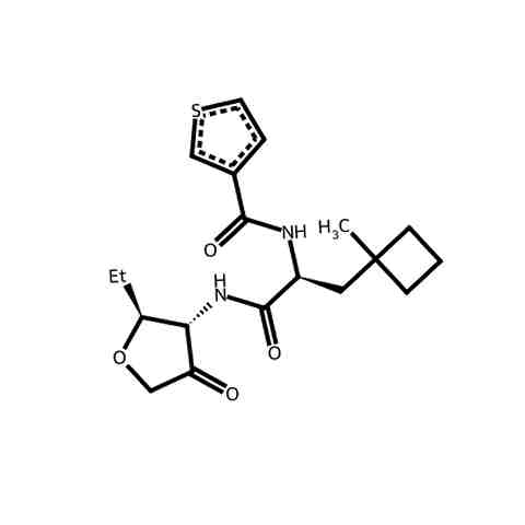 CC[C@@H]1OCC(=O)[C@H]1NC(=O)[C@H](CC1(C)CCC1)NC(=O)c1ccsc1